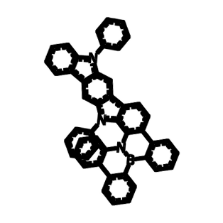 c1ccc(-n2c3ccccc3c3cc4c(cc32)c2ccc3c(c2n4-c2ccccc2)N2B(c4ccccc4-c4ccccc42)c2ccccc2-3)cc1